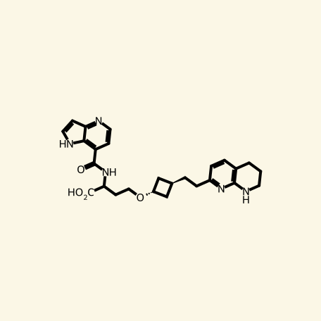 O=C(NC(CCO[C@H]1C[C@H](CCc2ccc3c(n2)NCCC3)C1)C(=O)O)c1ccnc2cc[nH]c12